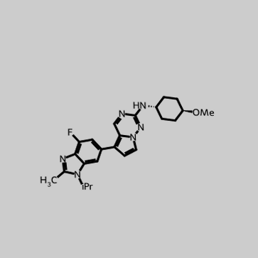 CO[C@H]1CC[C@H](Nc2ncc3c(-c4cc(F)c5nc(C)n(C(C)C)c5c4)ccn3n2)CC1